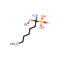 CCOC(N)(CCCCCC(=O)O)P(=O)(O)O